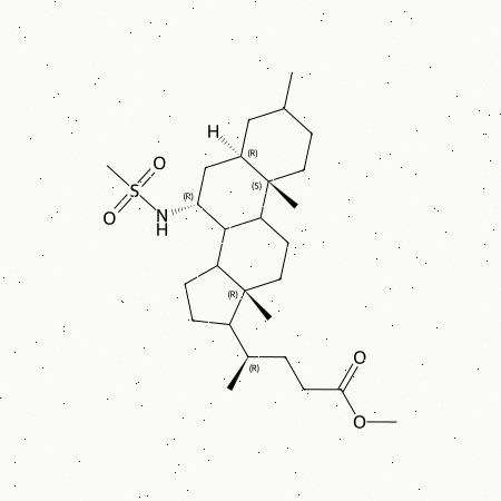 COC(=O)CC[C@@H](C)C1CCC2C3C(CC[C@@]21C)[C@@]1(C)CCC(C)C[C@@H]1C[C@H]3NS(C)(=O)=O